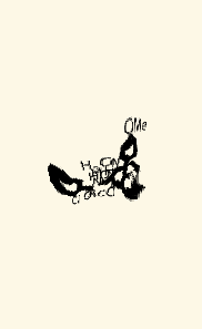 CC[C@]12C=CCN3CC[C@@]4(c5ccc(OC)cc5N(C)[C@H]4C(O)(CNC(=O)c4ccccc4Cl)[C@@H]1OC(C)=O)C32